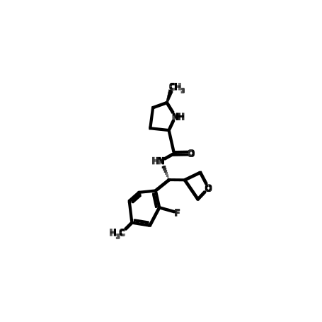 Cc1ccc([C@H](NC(=O)C2CC[C@@H](C)N2)C2COC2)c(F)c1